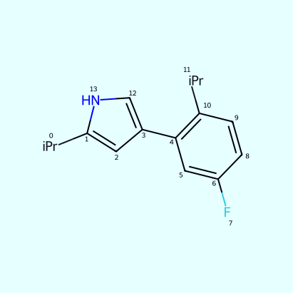 CC(C)c1cc(-c2cc(F)ccc2C(C)C)c[nH]1